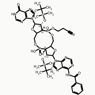 CC(C)(C)[Si](C)(C)O[C@H]1C(n2cnc3c(NC(=O)c4ccccc4)ncnc32)OC2COP(=O)(OCCC#N)[C@@H]3C(COP(=O)(O)[C@H]21)OC(n1cnc2c(=O)[nH]cnc21)[C@@H]3O[Si](C)(C)C(C)(C)C